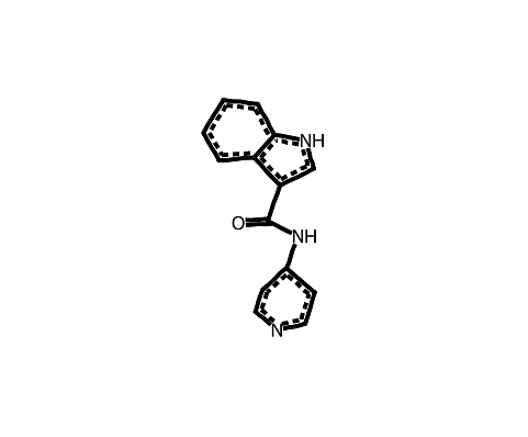 O=C(Nc1ccncc1)c1c[nH]c2ccccc12